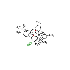 Cl.Cl.[CH2]=[Zr]([C]1=CC(C)=CC1C)([c]1ccc(C)cc1)([c]1ccc(C)cc1)[c]1c(C(C)(C)C)ccc2c1Cc1cc(C(C)(C)C)ccc1-2